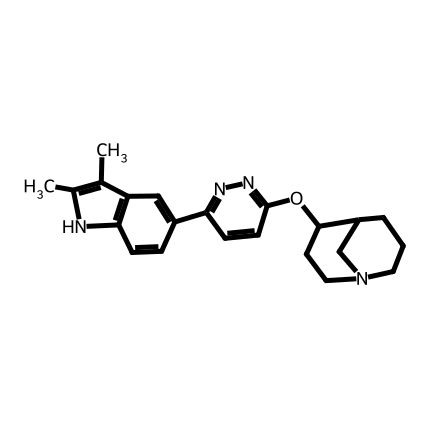 Cc1[nH]c2ccc(-c3ccc(OC4CCN5CCCC4C5)nn3)cc2c1C